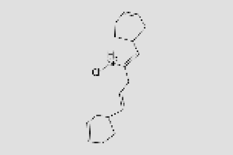 Cl[SiH2]C(=CC1CC=CCC1)CC=CC1CC=CCC1